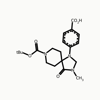 CN1CN(c2ccc(C(=O)O)cc2)C2(CCN(C(=O)OC(C)(C)C)CC2)C1=O